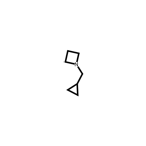 [CH]1CCN1CC1CC1